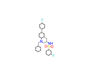 O=S(=O)(NC1Cc2cc(-c3ccc(F)cc3)ccc2N(Cc2ccccc2)C1)c1cccc(F)c1